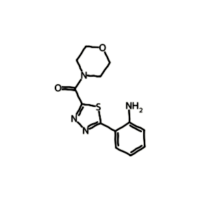 Nc1ccccc1-c1nnc(C(=O)N2CCOCC2)s1